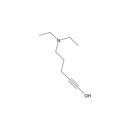 CCN(CC)CCCC#CO